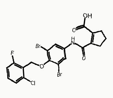 O=C(O)C1=C(C(=O)Nc2cc(Br)c(OCc3c(F)cccc3Cl)c(Br)c2)CCC1